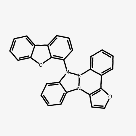 c1ccc2c(c1)B1N(c3ccccc3N1c1cccc3c1oc1ccccc13)c1ccoc1-2